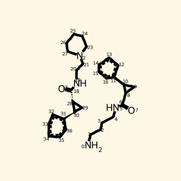 NCCCCNC(=O)C1CC1c1ccccc1.O=C(NCCN1CCCCC1)[C@@H]1C[C@H]1c1ccccc1